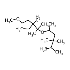 BC(C)C(C)(C)CC(C)OC(C)(C)C(C)(CC)CCOC